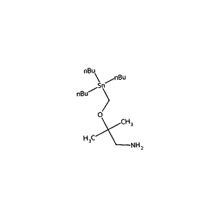 CCC[CH2][Sn]([CH2]CCC)([CH2]CCC)[CH2]OC(C)(C)CN